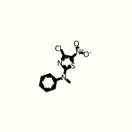 CN(c1ccccc1)c1nc(Cl)c([N+](=O)[O-])s1